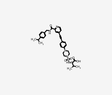 CC(C)c1ccc(CNC(=O)c2cc(C#Cc3ccc(N4CCN(S(=O)(=O)N[C@@H](C(=O)O)C(C)C)CC4)cc3)ccn2)cc1